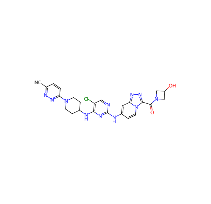 N#Cc1ccc(N2CCC(Nc3nc(Nc4ccn5c(C(=O)N6CC(O)C6)nnc5c4)ncc3Cl)CC2)nn1